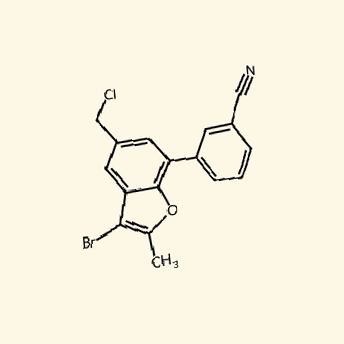 Cc1oc2c(-c3cccc(C#N)c3)cc(CCl)cc2c1Br